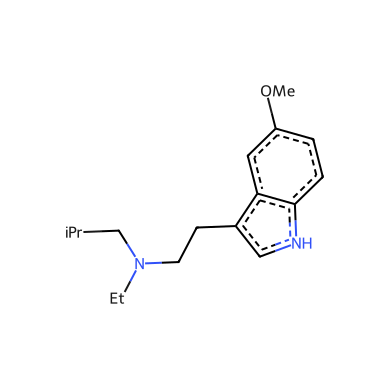 CCN(CCc1c[nH]c2ccc(OC)cc12)CC(C)C